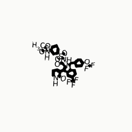 CS(=O)(=O)Nc1cccc(S(=O)(=O)NC(=O)c2c(-c3ccc[nH]c3=O)c3cc(C(F)(F)F)ccc3n2Cc2ccc(OC(F)F)cc2)c1